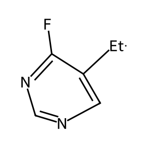 C[CH]c1cncnc1F